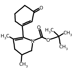 CC1=C(C2=CC(=O)CCC2)N(C(=O)OC(C)(C)C)CC(C)C1